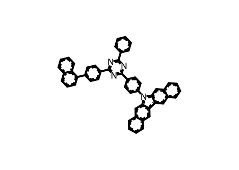 c1ccc(-c2nc(-c3ccc(-c4cccc5ccccc45)cc3)nc(-c3ccc(-n4c5cc6ccccc6cc5c5cc6ccccc6cc54)cc3)n2)cc1